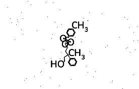 Cc1ccc(S(=O)(=O)OCCC(C)(CCO)c2ccccc2)cc1